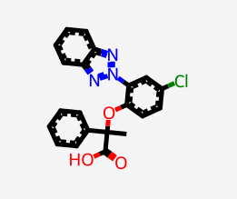 CC(Oc1ccc(Cl)cc1-n1nc2ccccc2n1)(C(=O)O)c1ccccc1